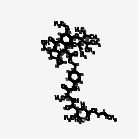 C=CCOC(=O)N[C@@H](C(=O)N[C@@H](C)C(=O)Nc1ccc(COC(=O)Nc2cc(O[Si](C(C)C)(C(C)C)C(C)C)c(OC)cc2C(=O)N2CC3(CC3)C[C@H]2CO)cc1)C(C)C